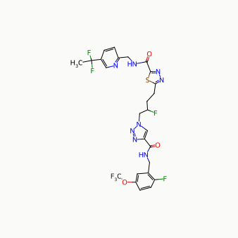 CC(F)(F)c1ccc(CNC(=O)c2nnc(CCC(F)Cn3cc(C(=O)NCc4cc(OC(F)(F)F)ccc4F)nn3)s2)nc1